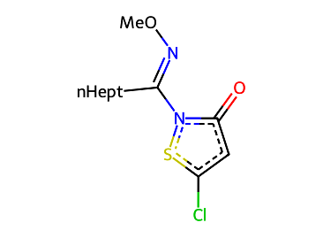 CCCCCCCC(=NOC)n1sc(Cl)cc1=O